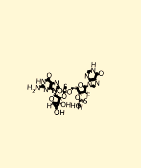 Nc1nc2c(ncn2[C@@H]2O[C@@H]3C(O)[C@]3(O)[C@H]2OP(O)(=S)OC[C@H]2O[C@@H](n3cnc4c(=O)[nH]cnc43)[C@@H](F)[C@@H]2O[PH](O)=S)c(=O)[nH]1